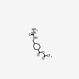 NNC(=O)NCC1CCC(C(=O)OC(=O)C(F)(F)F)CC1